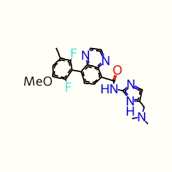 COc1cc(C)c(F)c(-c2ccc(C(=O)Nc3ncc(CN(C)C)[nH]3)c3nccnc23)c1F